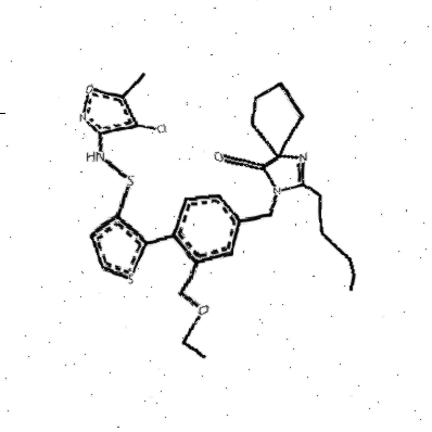 CCCCC1=NC2(CCCC2)C(=O)N1Cc1ccc(-c2sccc2SNc2noc(C)c2Cl)c(COCC)c1